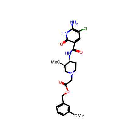 COc1cccc(COC(=O)CN2CC[C@H](NC(=O)c3cc(Cl)c(N)[nH]c3=O)[C@H](OC)C2)c1